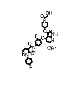 O=C(Nc1ccc(Oc2ccnc3[nH]nc(OC4CCN(C(=O)CO)CC4)c23)c(F)c1)c1ccnn(-c2ccc(F)cc2)c1=O.[Cl-].[H+]